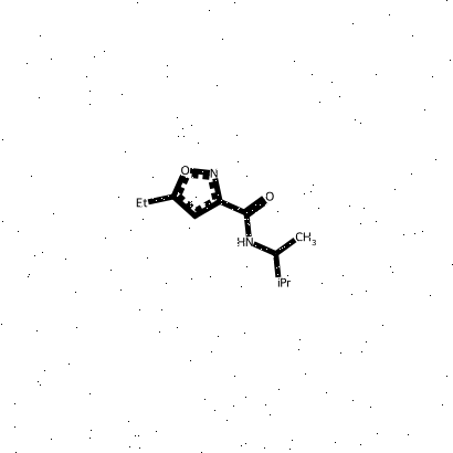 CCc1cc(C(=O)NC(C)C(C)C)no1